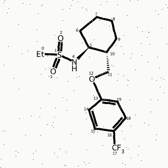 CCS(=O)(=O)N[C@H]1CCCC[C@@H]1COc1ccc(C(F)(F)F)cc1